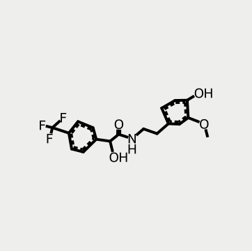 COc1cc(CCNC(=O)C(O)c2ccc(C(F)(F)F)cc2)ccc1O